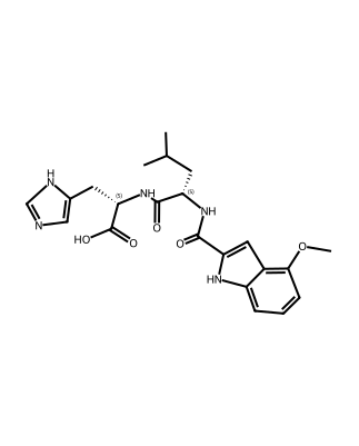 COc1cccc2[nH]c(C(=O)N[C@@H](CC(C)C)C(=O)N[C@@H](Cc3cnc[nH]3)C(=O)O)cc12